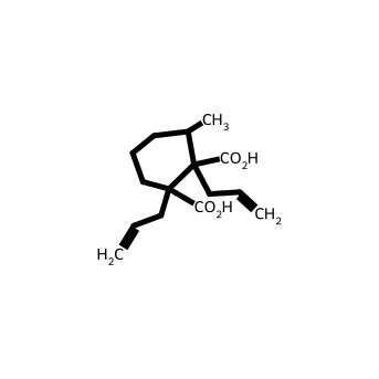 C=CCC1(C(=O)O)CCCC(C)C1(CC=C)C(=O)O